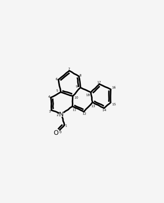 O=CN1C=Cc2cccc3c2c1cc1ccccc13